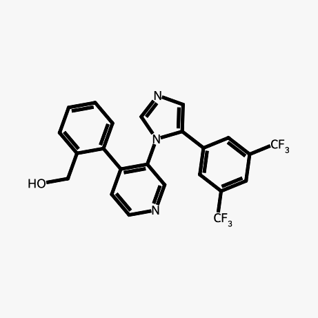 OCc1ccccc1-c1ccncc1-n1cncc1-c1cc(C(F)(F)F)cc(C(F)(F)F)c1